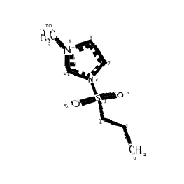 CCCS(=O)(=O)n1cc[n+](C)c1